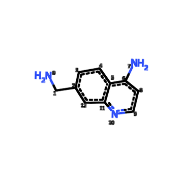 NCc1ccc2c(N)ccnc2c1